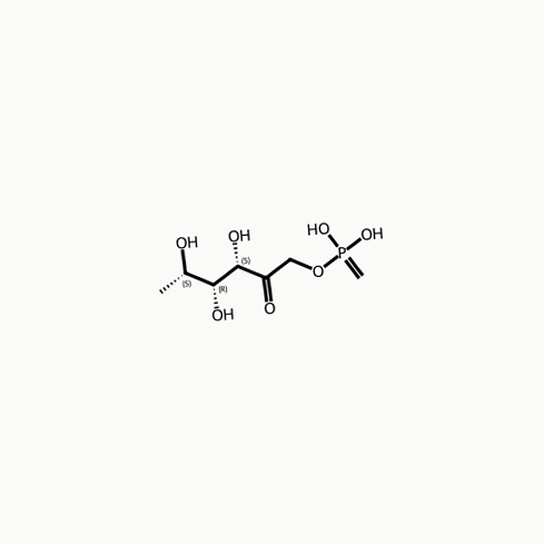 C=P(O)(O)OCC(=O)[C@@H](O)[C@H](O)[C@H](C)O